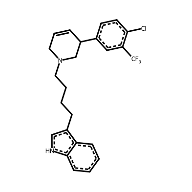 FC(F)(F)c1cc(C2C=CCN(CCCCc3c[nH]c4ccccc34)C2)ccc1Cl